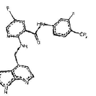 O=C(Nc1ccc(C(F)(F)F)c(F)c1)c1cc(F)cnc1NCc1ccnc2[nH]ncc12